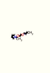 C=C/C=C/OCCOC(C)N1CCCC1